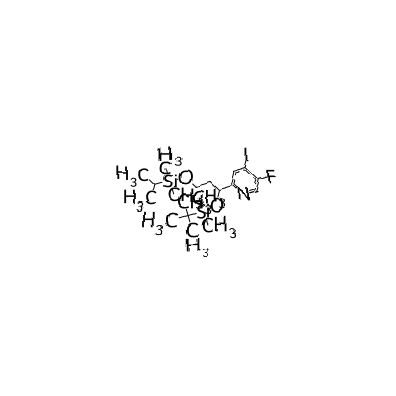 CC(C)[Si](C)(C)OCCC(O[Si](C)(C)C(C)(C)C)c1cc(I)c(F)cn1